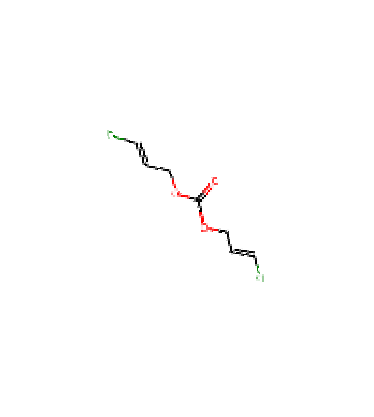 O=C(OCC=CF)OCC=CCl